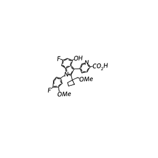 COCC1(c2c(-c3ccc(C(=O)O)nc3)c3c(O)cc(F)cc3n2-c2ccc(F)c(OC)c2)CCC1